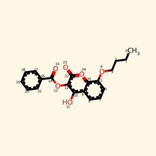 CCCCOc1cccc2c(O)c(OC(=O)c3ccccc3)c(=O)oc12